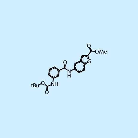 COC(=O)c1cc2cc(NC(=O)c3cccc(NC(=O)OC(C)(C)C)c3)ccc2s1